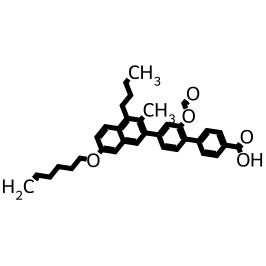 C=CCCCCOc1ccc2c(CCCC)c(C)c(-c3ccc(-c4ccc(C(=O)O)cc4)c(OC=O)c3)cc2c1